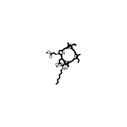 C=Cc1c(C)c2cc3nc(c(CC(=O)OC)c4[nH]c(cc5nc(cc1[nH]2)C(C)=C5CC)c(C)c4C(=O)NCCCCCCC)[C@@H](CCC(=O)OC)C3